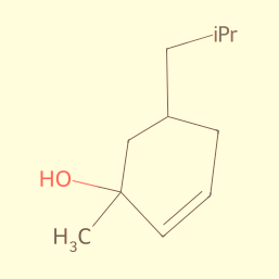 CC(C)CC1CC=CC(C)(O)C1